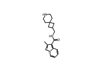 Cc1nn2ccccc2c1C(=O)NCC1CC2(CCNCC2)C1